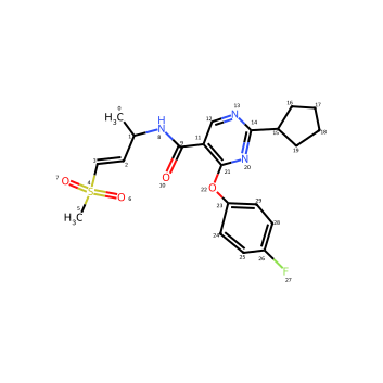 CC(C=CS(C)(=O)=O)NC(=O)c1cnc(C2CCCC2)nc1Oc1ccc(F)cc1